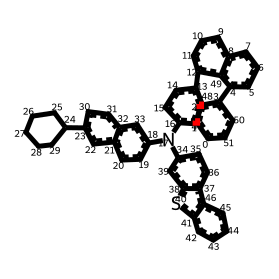 c1ccc(-c2cccc3cccc(-c4ccc(N(c5ccc6cc(C7CCCCC7)ccc6c5)c5ccc6c(c5)sc5ccccc56)cc4)c23)cc1